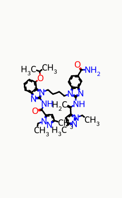 C=C(Nc1nc2cc(C(N)=O)ccc2n1CCCCn1c(NC(=O)c2cc(C)nn2CC)nc2cccc(OC(C)C)c21)c1cc(C)nn1CC